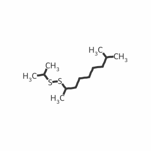 CC(C)CCCCCC(C)SSC(C)C